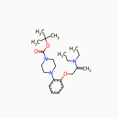 C=C(COc1ccccc1N1CCN(C(=O)OC(C)(C)C)CC1)N(CC)CC